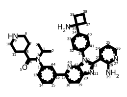 CC(C)N(C(=O)C1CCNCC1)c1cccc(-c2ccc3nc(-c4cccnc4N)n(-c4ccc(C5(N)CCC5)cc4)c3n2)c1